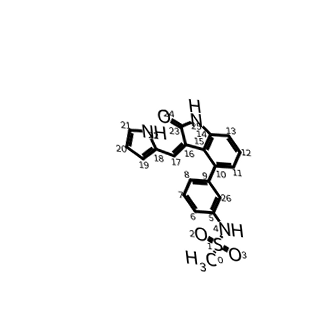 CS(=O)(=O)Nc1cccc(-c2cccc3c2/C(=C/c2ccc[nH]2)C(=O)N3)c1